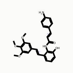 COc1cc(/C=C/c2cccc(O)c2NC(=O)/C=C/c2ccc(N)cc2)cc(OC)c1OC